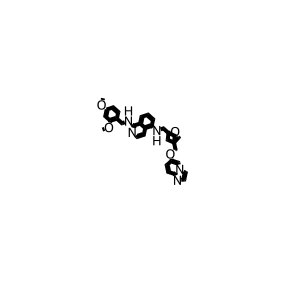 COc1ccc(CNc2nccc3c(NCC45CC(COc6ccc7nccn7c6)(CO4)C5)cccc23)c(OC)c1